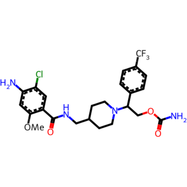 COc1cc(N)c(Cl)cc1C(=O)NCC1CCN(C(COC(N)=O)c2ccc(C(F)(F)F)cc2)CC1